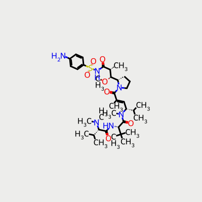 CO[C@H]([C@@H](C)C(=O)NS(=O)(=O)c1ccc(N)cc1)[C@@H]1CCCN1C(=O)C(C)=C[C@H](C(C)C)N(C)C(=O)[C@@H](NC(=O)[C@H](C(C)C)N(C)C)C(C)(C)C